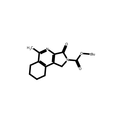 Cc1nc2c(c3c1CCCC3)CN(C(=O)OC(C)(C)C)C2=O